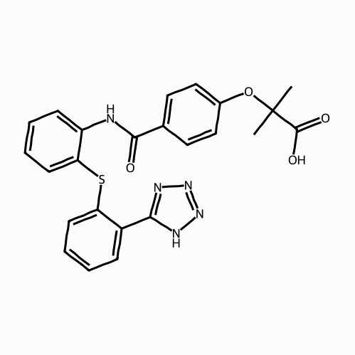 CC(C)(Oc1ccc(C(=O)Nc2ccccc2Sc2ccccc2-c2nnn[nH]2)cc1)C(=O)O